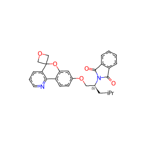 CC(C)C[C@@H](COc1ccc2c(c1)OC1(COC1)c1cccnc1-2)N1C(=O)c2ccccc2C1=O